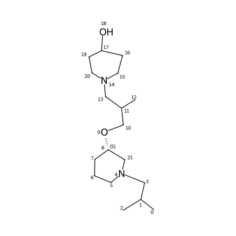 CC(C)CN1CCC[C@H](OCC(C)CN2CCC(O)CC2)C1